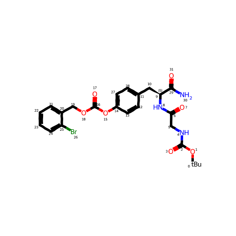 CC(C)(C)OC(=O)NCC(=O)N[C@@H](Cc1ccc(OC(=O)OCc2ccccc2Br)cc1)C(N)=O